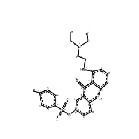 CCN(CC)CCNc1cccc2sc3ccc(OS(=O)(=O)c4ccc(C)cc4)cc3c(=O)c12